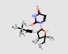 CC[C@@]1(C)O[C@@H](n2ccc(=O)[nH]c2=O)[C@@H](C#C[Si](C)(C)C)[C@@H]1C